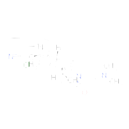 CN(C)CCN1C(=O)CC[C@@]2(C)C1=CC[C@@H]1[C@@H]2CC[C@]2(C)C(c3cccnc3Cl)=CC[C@@H]12